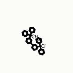 CC(c1ccccc1)(c1ccccc1)c1cccc(-c2cccc(C(Cl)(c3ccccc3)c3ccccc3)c2)c1